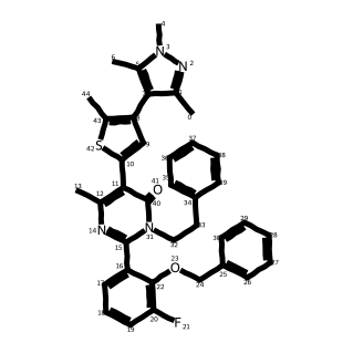 Cc1nn(C)c(C)c1-c1cc(-c2c(C)nc(-c3cccc(F)c3OCc3ccccc3)n(CCc3ccccc3)c2=O)sc1C